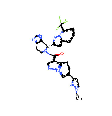 Cn1ccc(-c2ccc3c(C(=O)N4CCc5[nH]cnc5[C@@H]4c4cc5cccc(C(F)(F)F)n5n4)cnn3c2)n1